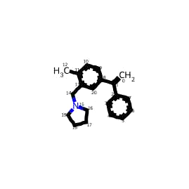 C=C(c1ccccc1)c1ccc(C)c(CN2CCCC2)c1